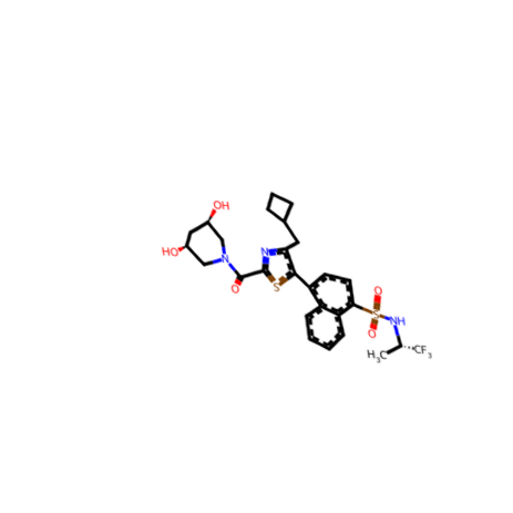 C[C@H](NS(=O)(=O)c1ccc(-c2sc(C(=O)N3C[C@H](O)C[C@H](O)C3)nc2CC2CCC2)c2ccccc12)C(F)(F)F